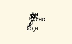 O=CC[C@@H]1[C@H](CCOCCCC(=O)O)[C@@H]2CC[C@H]1O2